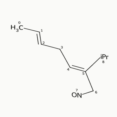 C/C=C/C/C=C(/CN=O)C(C)C